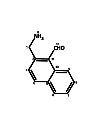 NCc1ccc2ccccc2c1C=O